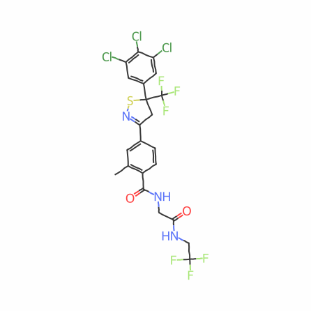 Cc1cc(C2=NSC(c3cc(Cl)c(Cl)c(Cl)c3)(C(F)(F)F)C2)ccc1C(=O)NCC(=O)NCC(F)(F)F